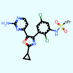 CCCS(=O)(=O)Nc1cc(Cl)cc(-c2nc(C3CC3)oc2-c2ccnc(N)n2)c1Cl